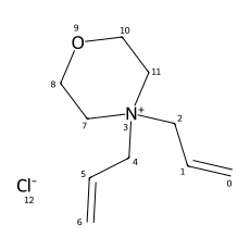 C=CC[N+]1(CC=C)CCOCC1.[Cl-]